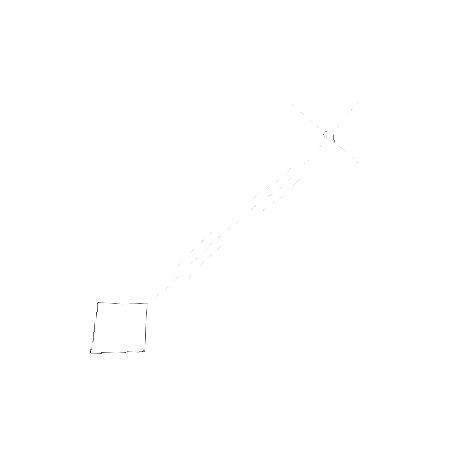 C[Si](C)(C)C#CC#CC1CCC1